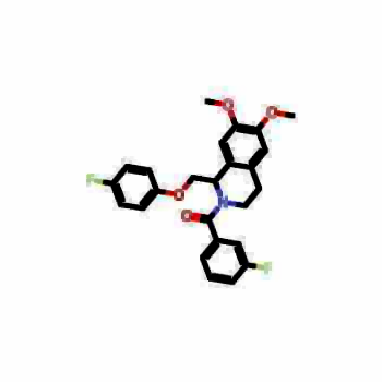 COc1cc2c(cc1OC)C(COc1ccc(F)cc1)N(C(=O)c1cccc(F)c1)CC2